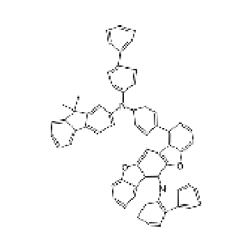 CC1(C)c2ccccc2-c2ccc(N(c3ccc(-c4ccccc4)cc3)C3C=CC(c4cccc5oc6c(-n7c8c(c9ccccc97)C=CCC8)c7c(cc6c45)oc4ccccc47)=CC3)cc21